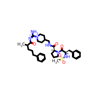 CC(CCCc1ccccc1)C(=O)/N=C(/N)N1CCC(CNC(=O)[C@@H]2CCCN2C(=O)[C@@H](Cc2ccccc2)NS(C)(=O)=O)CC1